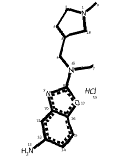 CN1CCC(CN(C)c2nc3cc(N)ccc3o2)C1.Cl